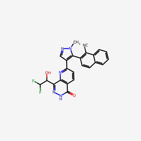 [C-]#[N+]c1c(-c2c(-c3ccc4c(=O)[nH]nc(C(O)C(F)F)c4n3)cnn2C)ccc2ccccc12